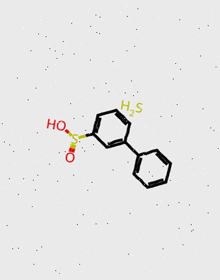 O=S(O)c1cccc(-c2ccccc2)c1.S